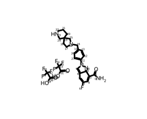 NC(=O)c1cc(F)cc2cn(-c3ccc(CN4CCC5(CCCNC5)C4)cc3)nc12.O=C(O)C(F)(F)F.O=C(O)C(F)(F)F